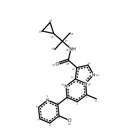 Cc1cc(-c2ncccc2Cl)nc2c(C(=O)NC(C)(C)C3CC3)cnn12